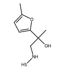 Cc1ccc(C(C)(O)CNS)o1